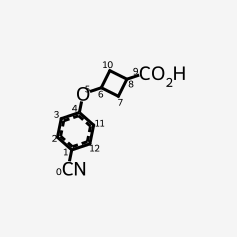 N#Cc1ccc(OC2CC(C(=O)O)C2)cc1